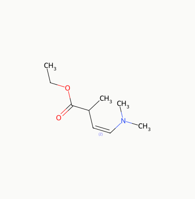 CCOC(=O)C(C)/C=C\N(C)C